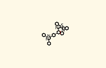 c1ccc(-c2cc(-c3ccc(-c4cccc(-c5nc6ccccc6c6sc7c8ccccc8n(-c8ccccc8)c7c56)c4)cc3)nc(-c3ccccc3)n2)cc1